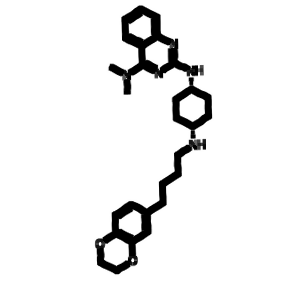 CN(C)c1nc(N[C@H]2CC[C@@H](NCCCCc3ccc4c(c3)OCCO4)CC2)nc2ccccc12